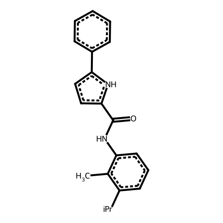 Cc1c(NC(=O)c2ccc(-c3ccccc3)[nH]2)cccc1C(C)C